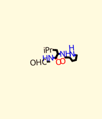 CC(C)CC(NC(=O)C1CCCN1)C(=O)NC[C]=O